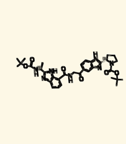 C[C@H](NC(=O)OC(C)(C)C)c1nc2cccc(C(=O)NCC(=O)c3ccc4[nH]c([C@@H]5CCCN5C(=O)OC(C)(C)C)nc4c3)c2[nH]1